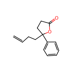 C=CCCC1(c2ccccc2)CCC(=O)O1